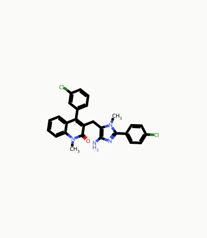 Cn1c(-c2ccc(Cl)cc2)nc(N)c1Cc1c(-c2cccc(Cl)c2)c2ccccc2n(C)c1=O